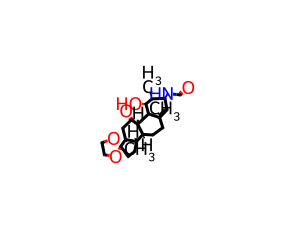 C[C@@H]1[C@@H](NC=O)C=C2CC[C@@H]3[C@H](C(=O)C[C@@]4(C)[C@H]3CCC43OCCO3)[C@@]2(C)[C@H]1O